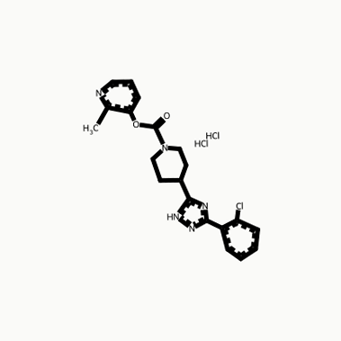 Cc1ncccc1OC(=O)N1CCC(c2nc(-c3ccccc3Cl)n[nH]2)CC1.Cl.Cl